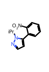 CC(C)n1nccc1-c1ccccc1[N+](=O)[O-]